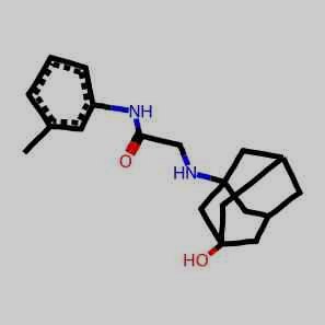 Cc1cccc(NC(=O)CNC23CC4CC(CC(O)(C4)C2)C3)c1